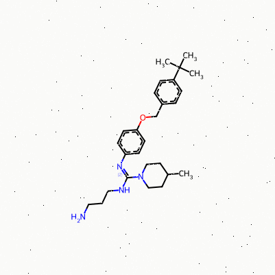 CC1CCN(/C(=N\c2ccc(OCc3ccc(C(C)(C)C)cc3)cc2)NCCCN)CC1